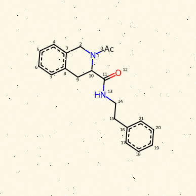 CC(=O)N1Cc2ccccc2CC1C(=O)NCCc1ccccc1